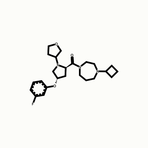 O=C([C@H]1C[C@H](Oc2cccc(F)c2)CN1C1CCOC1)N1CCCN(C2CCC2)CC1